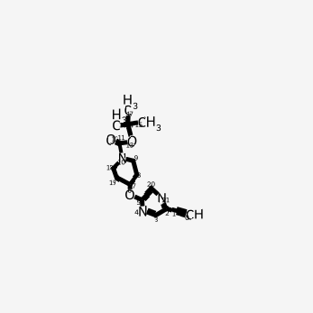 C#Cc1cnc(OC2CCN(C(=O)OC(C)(C)C)CC2)cn1